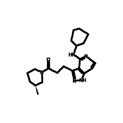 C[C@@H]1CCCN(C(=O)CCc2n[nH]c3ccnc(NC4CCCCC4)c23)C1